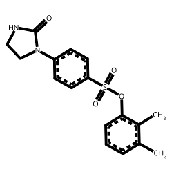 Cc1cccc(OS(=O)(=O)c2ccc(N3CCNC3=O)cc2)c1C